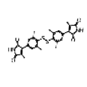 CC1=C(c2cc(C)c(SSc3c(C)cc(C4=C(C)C(=O)NC4=O)cc3C)c(C)c2)C(=O)NC1=O